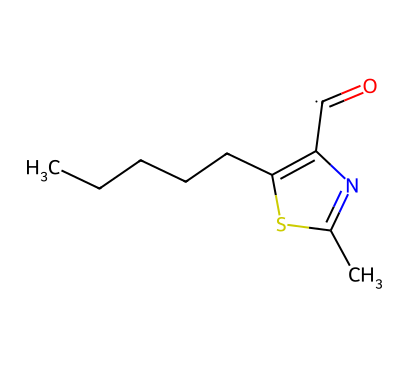 CCCCCc1sc(C)nc1[C]=O